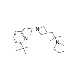 CC(C)(C)c1cccc(CC(C)(C)N2CC(CC(C)(C)N3CCCC3)C2)n1